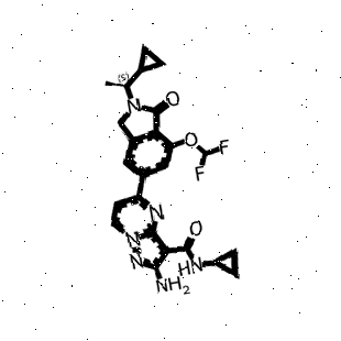 C[C@@H](C1CC1)N1Cc2cc(-c3ccn4nc(N)c(C(=O)NC5CC5)c4n3)cc(OC(F)F)c2C1=O